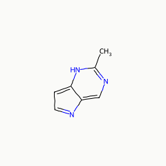 Cc1ncc2nccc-2[nH]1